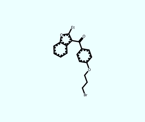 CCc1oc2ccccc2c1C(=O)c1ccc(OCCCBr)cc1